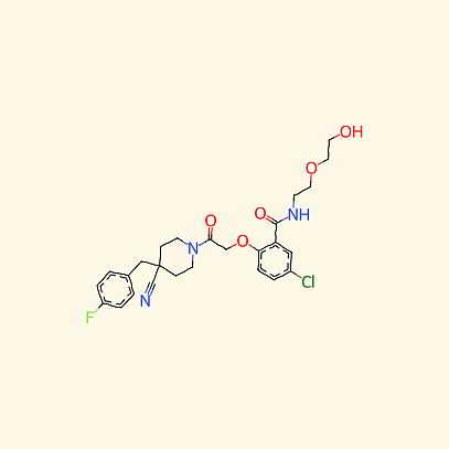 N#CC1(Cc2ccc(F)cc2)CCN(C(=O)COc2ccc(Cl)cc2C(=O)NCCOCCO)CC1